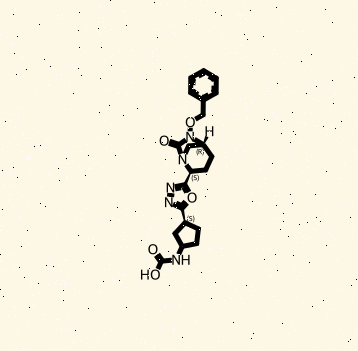 O=C(O)NC1CC[C@H](c2nnc([C@@H]3CC[C@@H]4CN3C(=O)N4OCc3ccccc3)o2)C1